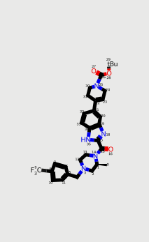 C[C@H]1CN(Cc2ccc(C(F)(F)F)cc2)CCN1C(=O)c1nc2cc(C3=CCN(C(=O)OC(C)(C)C)CC3)ccc2[nH]1